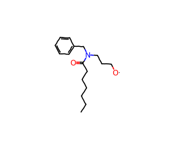 CCCCCCC(=O)N(CCC[O])Cc1ccccc1